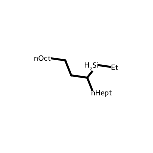 [CH2]CCCCCCCCCC(CCCCCC[CH2])[SiH2]CC